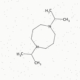 CC(C)N1CC[CH2][In]([CH](C)C)[CH2]CC1